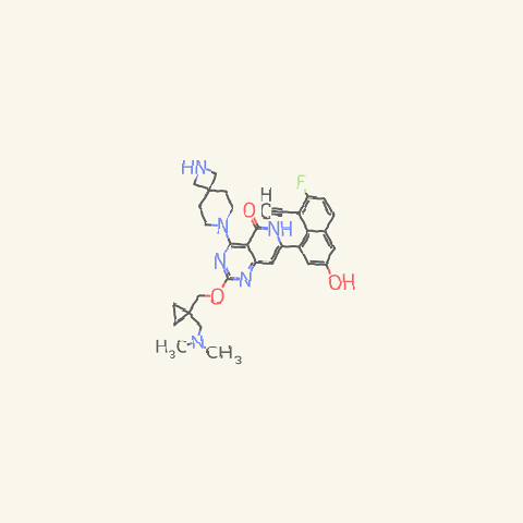 C#Cc1c(F)ccc2cc(O)cc(-c3cc4nc(OCC5(CN(C)C)CC5)nc(N5CCC6(CC5)CNC6)c4c(=O)[nH]3)c12